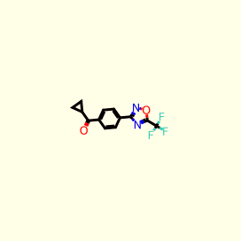 O=C(c1ccc(-c2noc(C(F)(F)F)n2)cc1)C1CC1